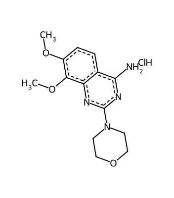 COc1ccc2c(N)nc(N3CCOCC3)nc2c1OC.Cl